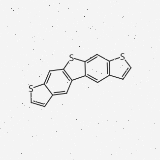 c1cc2cc3c(cc2s1)sc1cc2sccc2cc13